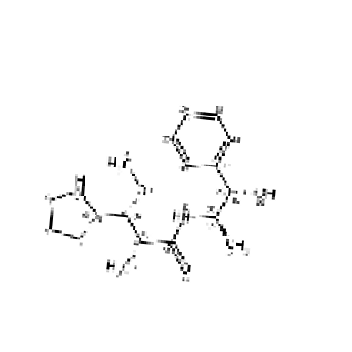 CO[C@@H]([C@@H]1CCCN1)[C@@H](C)C(=O)N[C@H](C)[C@@H](O)c1ccccc1